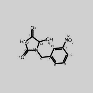 O=C1NC(=O)N(Cc2cccc([N+](=O)[O-])c2)C1O